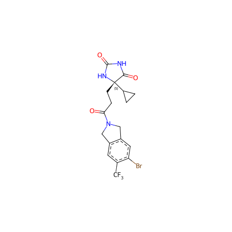 O=C1NC(=O)[C@](CCC(=O)N2Cc3cc(Br)c(C(F)(F)F)cc3C2)(C2CC2)N1